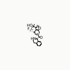 C[C@H]1CN(C(=O)[C@H]2NCCc3ccccc32)Cc2onc(C(C)(O)C(F)(F)F)c21